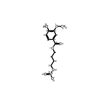 COc1cc(C(=O)OCCCCO[N+](=O)[O-])ccc1O